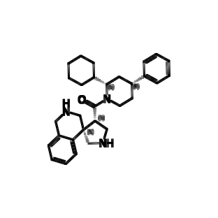 O=C([C@@H]1CNC[C@]12CNCc1ccccc12)N1CC[C@@H](c2ccccc2)C[C@H]1C1CCCCC1